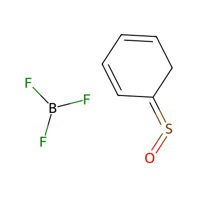 FB(F)F.O=S=C1C=CC=CC1